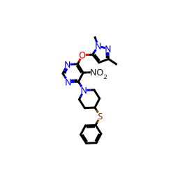 Cc1cc(Oc2ncnc(N3CCC(Sc4ccccc4)CC3)c2[N+](=O)[O-])n(C)n1